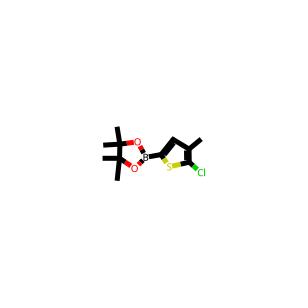 Cc1cc(B2OC(C)(C)C(C)(C)O2)sc1Cl